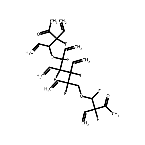 C=CC(OC(F)(C=C)C(F)(C=C)C(F)(C=C)C(F)(C=C)COC(F)C(F)(C=C)C(C)=O)C(F)(C=C)C(C)=O